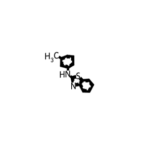 Cc1cccc(Nc2nc3ccccc3s2)c1